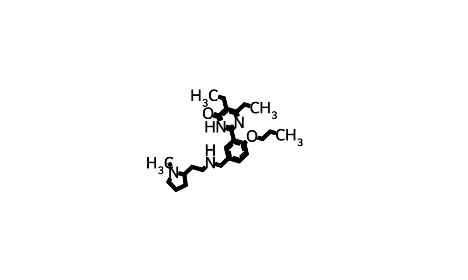 CCCOc1ccc(CNCCC2CCCN2C)cc1-c1nc(CC)c(CC)c(=O)[nH]1